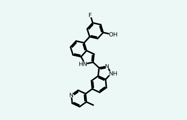 Cc1ccncc1-c1ccc2[nH]nc(-c3cc4c(-c5cc(O)cc(F)c5)cccc4[nH]3)c2c1